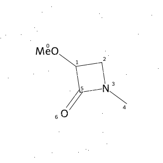 COC1CN(C)C1=O